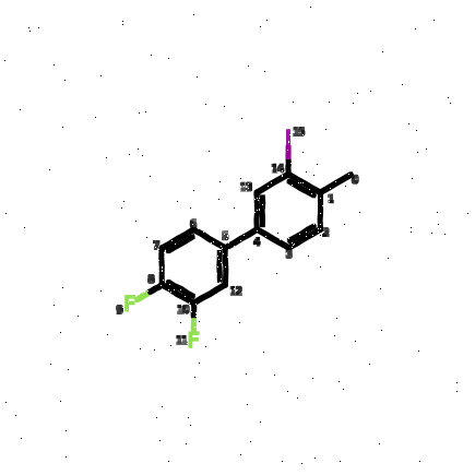 Cc1ccc(-c2ccc(F)c(F)c2)cc1I